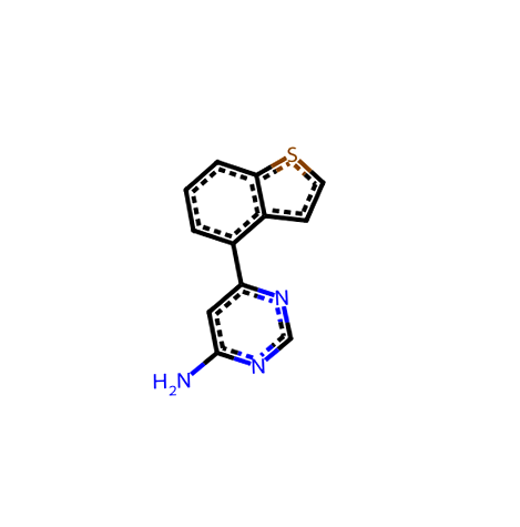 Nc1cc(-c2cccc3sccc23)ncn1